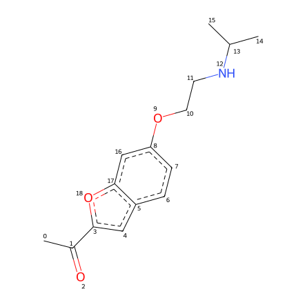 CC(=O)c1cc2ccc(OCCNC(C)C)cc2o1